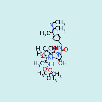 C/C=N\C(C)=C(/C)c1ccc(CNC(=O)[C@@H]2C[C@@H](O)CN2C(=O)[C@@H](NC(=O)[C@H](C)NC(=O)OC(C)(C)C)C(C)(C)C)cc1